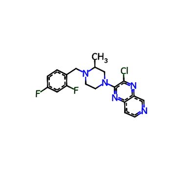 CC1CN(c2nc3ccncc3nc2Cl)CCN1Cc1ccc(F)cc1F